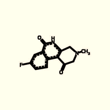 CN1CC(=O)c2c([nH]c(=O)c3cc(F)ccc23)C1